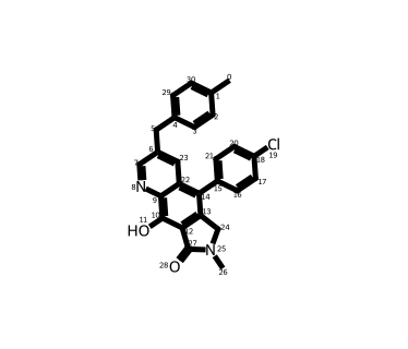 Cc1ccc(Cc2cnc3c(O)c4c(c(-c5ccc(Cl)cc5)c3c2)CN(C)C4=O)cc1